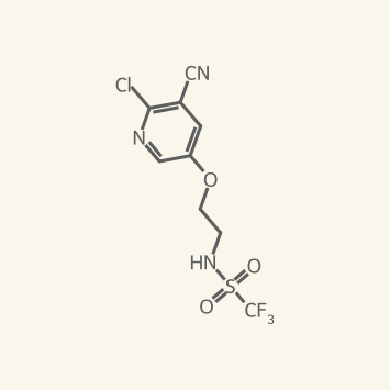 N#Cc1cc(OCCNS(=O)(=O)C(F)(F)F)cnc1Cl